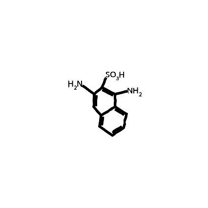 Nc1cc2ccccc2c(N)c1S(=O)(=O)O